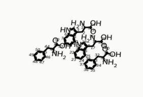 NC(Cc1c[nH]c2ccccc12)C(=O)O.NC(Cc1c[nH]c2ccccc12)C(=O)O.NC(Cc1ccccc1)C(=O)O.NC(Cc1ccccc1)C(=O)O